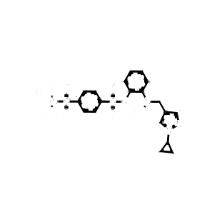 CN(Cc1cnn(C2CC2)c1)c1ccccc1NS(=O)(=O)c1ccc(S(=O)(=O)N(C)C)cc1